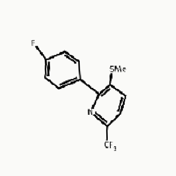 CSc1ccc(C(F)(F)F)nc1-c1ccc(F)cc1